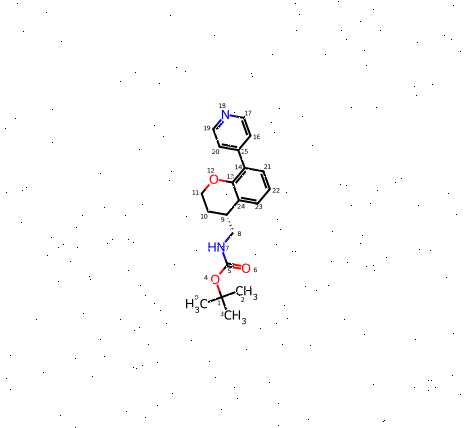 CC(C)(C)OC(=O)NC[C@@H]1CCOc2c(-c3ccncc3)cccc21